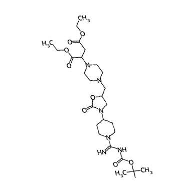 CCOC(=O)CC(C(=O)OCC)N1CCN(CC2CN(C3CCN(C(=N)NC(=O)OC(C)(C)C)CC3)C(=O)O2)CC1